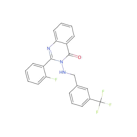 O=c1c2ccccc2nc(-c2ccccc2F)n1NCc1cccc(C(F)(F)F)c1